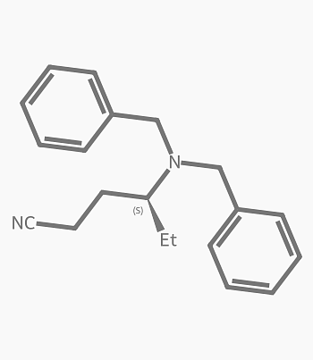 CC[C@@H](CCC#N)N(Cc1ccccc1)Cc1ccccc1